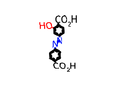 O=C(O)c1ccc(N=Nc2ccc(C(=O)O)c(O)c2)cc1